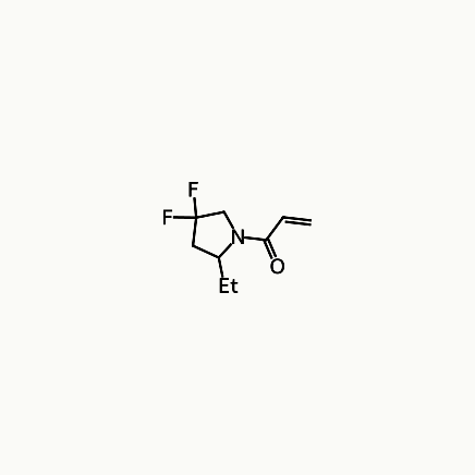 C=CC(=O)N1CC(F)(F)CC1CC